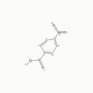 COC(=O)c1ccc([SH](=O)=O)cc1